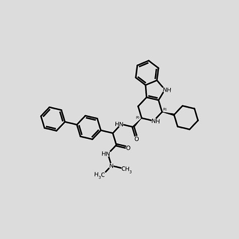 CN(C)NC(=O)C(NC(=O)[C@H]1Cc2c([nH]c3ccccc23)[C@@H](C2CCCCC2)N1)c1ccc(-c2ccccc2)cc1